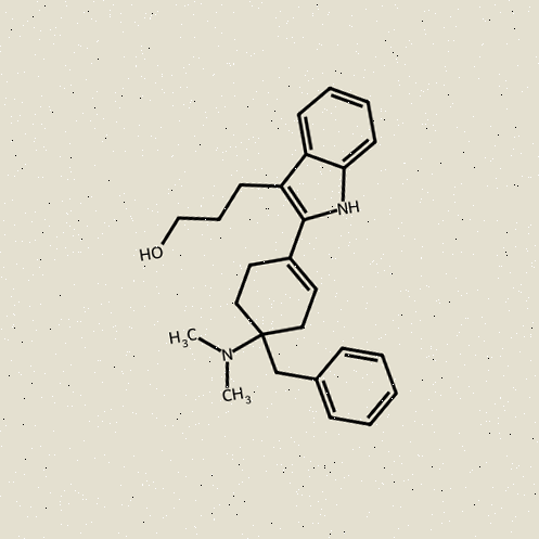 CN(C)C1(Cc2ccccc2)CC=C(c2[nH]c3ccccc3c2CCCO)CC1